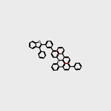 c1ccc(-c2ccc(-c3ccccc3N(c3ccc(-c4cccc(-c5oc6ccccc6c5-c5ccccc5)c4)cc3)c3ccccc3-c3ccccc3)cc2)cc1